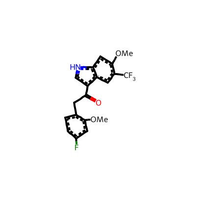 COc1cc(F)ccc1CC(=O)c1c[nH]c2cc(OC)c(C(F)(F)F)cc12